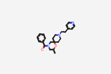 CC1CN(C(=O)c2ccccc2)CC2(CCN(CCc3ccncc3)CC2)O1